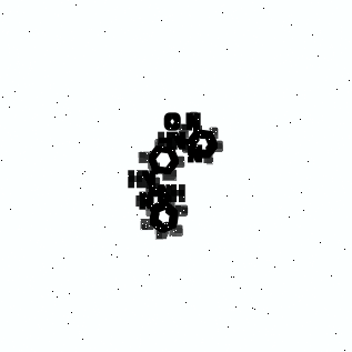 O=[N+]([O-])c1cccnc1NC1CCC(Nc2nc3ccccc3[nH]2)CC1